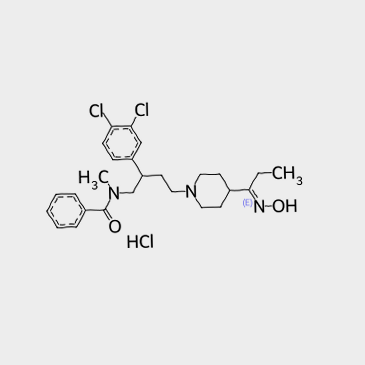 CC/C(=N\O)C1CCN(CCC(CN(C)C(=O)c2ccccc2)c2ccc(Cl)c(Cl)c2)CC1.Cl